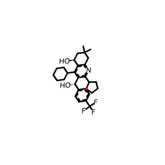 CC1(C)Cc2nc(C3CCCC3)c([C@@H](O)c3ccc(C(F)(F)F)cc3)c(C3CCCCC3)c2[C@@H](O)C1